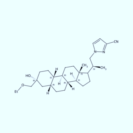 CCOC[C@@]1(O)CC[C@H]2[C@H](CC[C@@H]3[C@@H]2CC[C@]2(C)C([C@H](C)Cn4ccc(C#N)n4)CC[C@@H]32)C1